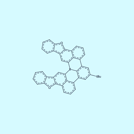 CC(C)(C)c1cc2c3c(c1)-c1cccc4c1c(cc1c5ccccc5oc41)B3c1cc3c4ccccc4oc3c3cccc-2c13